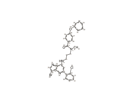 CN(CCCNc1cc(-c2ccccc2Cl)nc2c(Br)cnn12)C(=O)c1ccc(Oc2ccccc2)cc1